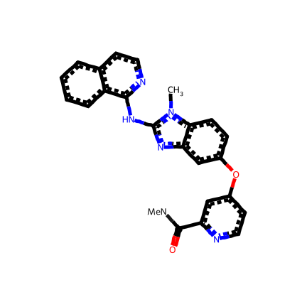 CNC(=O)c1cc(Oc2ccc3c(c2)nc(Nc2nccc4ccccc24)n3C)ccn1